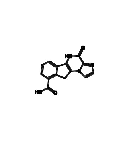 O=C(O)c1cccc2c1Cc1c-2[nH]c(=O)c2nccn12